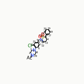 CC(=O)N1CCN(c2ccc(CN3[C@@H](C)CCC(c4ccccc4)S3(=O)=O)cc2Cl)CC1